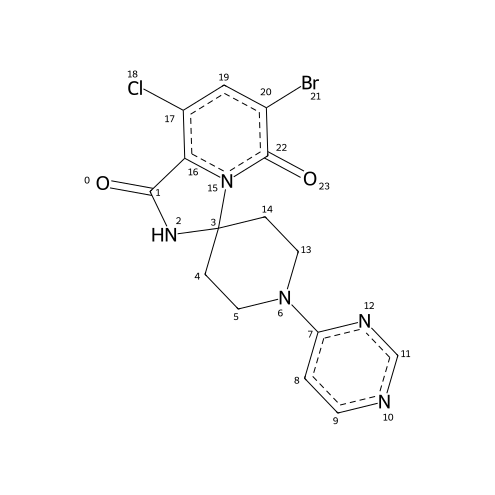 O=C1NC2(CCN(c3ccncn3)CC2)n2c1c(Cl)cc(Br)c2=O